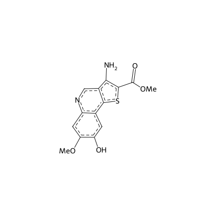 COC(=O)c1sc2c(cnc3cc(OC)c(O)cc32)c1N